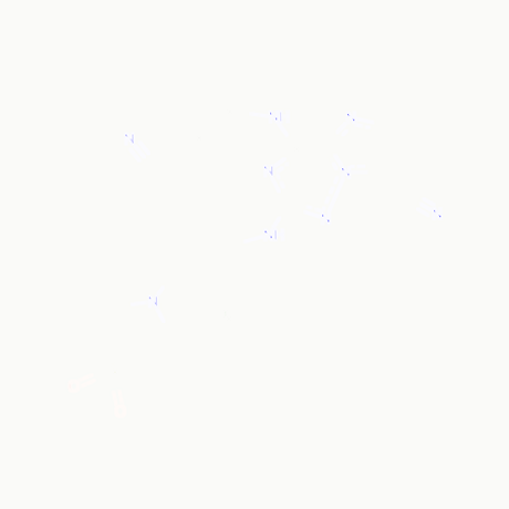 N#Cc1cc(Nc2nc(NC3CC3)c3ncc(C#N)n3n2)c(Cl)c(N2CCS(=O)(=O)CC2)c1